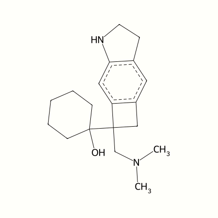 CN(C)CC1(C2(O)CCCCC2)Cc2cc3c(cc21)NCC3